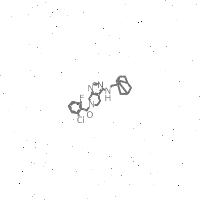 O=C(c1c(F)cccc1Cl)N1CCc2c(ncnc2NCC23CC4CC(CC(C4)C2)C3)C1